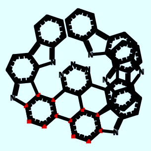 c1ccc(-c2ccc3c(c2-c2nnnc(-c4c(-c5ccccc5)ccc5c4-c4c6c(ccc4=N5)=c4ccccc4=N6)c2-c2c(-c4ccccc4)ccc4c2-c2c5c(ccc2=N4)=c2ccccc2=N5)-c2c4c(ccc2=N3)=c2ccccc2=N4)cc1